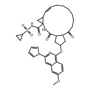 COc1ccc2c(OC3CC4C(=O)NC5(C(=O)NS(=O)(=O)C6CC6)CC5C=CCCCCCCC(=O)N4C3)nc(-n3cccn3)cc2c1